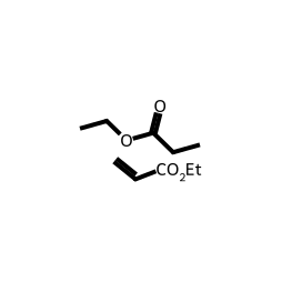 C=CC(=O)OCC.CCOC(=O)CC